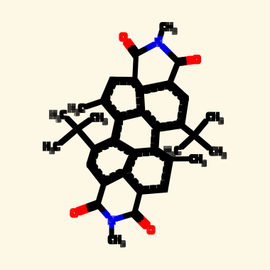 Cc1cc2c3c(cc(C(C)(C)C)c4c5c(C)cc6c7c(cc(C(C)(C)C)c(c1c34)c75)C(=O)N(C)C6=O)C(=O)N(C)C2=O